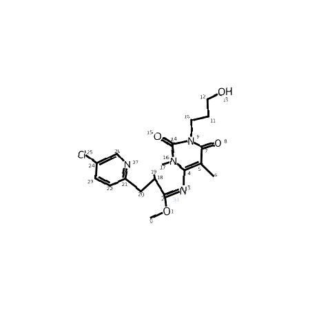 CO/C(=N/c1c(C)c(=O)n(CCCO)c(=O)n1C)C(C)Cc1ccc(Cl)cn1